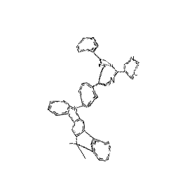 CC1(C)c2ccccc2-c2cc3c(cc21)c1ccccc1n3-c1ccc(C2N=C(c3cccnc3)N3C(c4ccccc4)N23)cc1